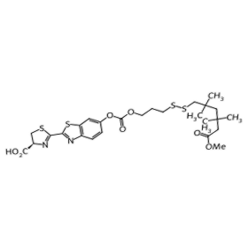 COC(=O)CC(C)(C)CC(C)(C)CSSCCCOC(=O)Oc1ccc2nc(C3=N[C@@H](C(=O)O)CS3)sc2c1